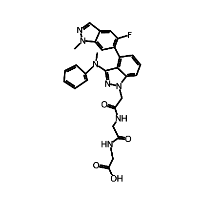 CN(c1ccccc1)c1nn(CC(=O)NCC(=O)NCC(=O)O)c2cccc(-c3cc4c(cnn4C)cc3F)c12